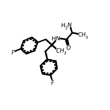 CC(N)C(=O)NC(C)(Cc1ccc(F)cc1)Cc1ccc(F)cc1